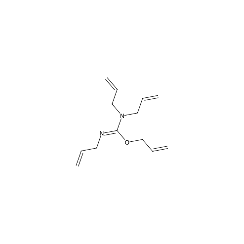 C=CCN=C(OCC=C)N(CC=C)CC=C